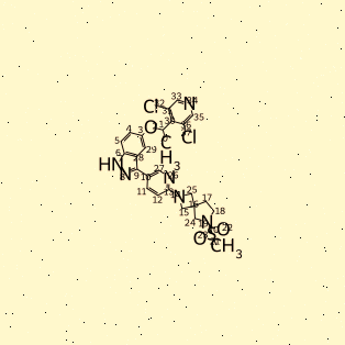 CC(Oc1ccc2[nH]nc(-c3ccc(N4CC5(CCN(S(C)(=O)=O)C5)C4)nc3)c2c1)c1c(Cl)cncc1Cl